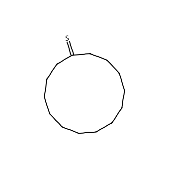 S=C1CCCCCCCCCCCCC1